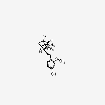 COc1cc(O)ccc1/C=C/C1=CC(=O)[C@H]2C[C@@H]1C2(C)C